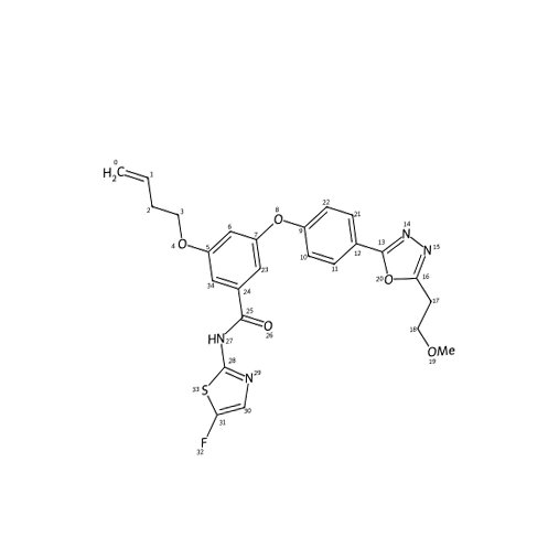 C=CCCOc1cc(Oc2ccc(-c3nnc(CCOC)o3)cc2)cc(C(=O)Nc2ncc(F)s2)c1